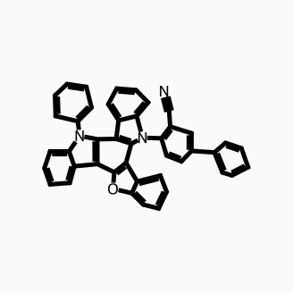 N#Cc1cc(-c2ccccc2)ccc1-n1c2ccccc2c2c3c(c4ccccc4n3-c3ccccc3)c3oc4ccccc4c3c21